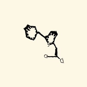 ClC(Cl)=Cc1ccc(-c2ccccc2)s1